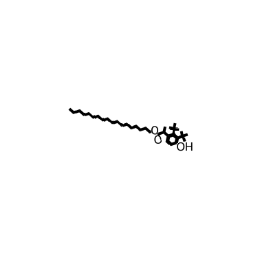 CCCCCCCCCCCCCCCCCCOC(=O)C(C)c1ccc(O)c(C(C)(C)C)c1C(C)(C)C